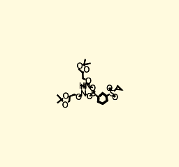 CC1(C)OCC(CONOB(ONOCC2COC(C)(C)O2)c2cccc(S(=O)(=O)C3CC3)c2)O1